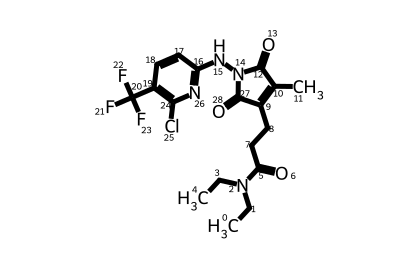 CCN(CC)C(=O)CCC1=C(C)C(=O)N(Nc2ccc(C(F)(F)F)c(Cl)n2)C1=O